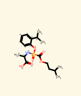 CC(C)CCOC(=O)P(=O)(NC(C)C(=O)O)Oc1ccccc1C(C)C